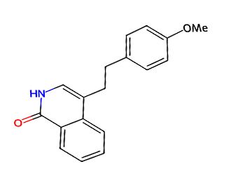 COc1ccc(CCc2c[nH]c(=O)c3ccccc23)cc1